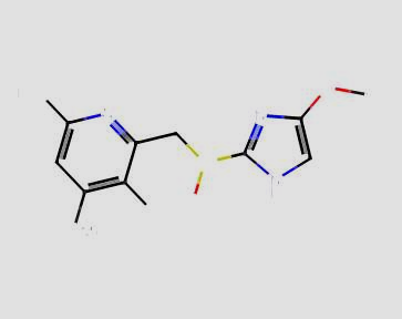 COc1cc(C)nc(C[S+]([O-])c2nc(OC(C)C)c[nH]2)c1C